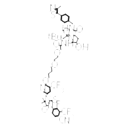 Cc1ncsc1-c1ccc(CNC(=O)[C@@H]2C[C@@H](O)CN2C(=O)[C@@H](NC(=O)COCCOCCCCOc2ncc(N3C(=S)N(c4ccc(C#N)c(C(F)(F)F)c4F)C(=O)C3(C)C)cc2C(F)(F)F)C(C)(C)C)cc1